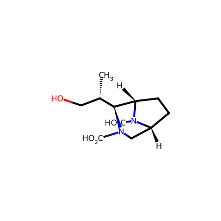 C[C@@H](CO)[C@H]1[C@@H]2CC[C@H](CN1C(=O)O)N2C(=O)O